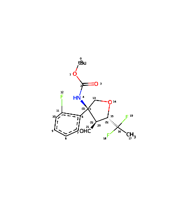 CC(C)(C)OC(=O)N[C@@]1(c2ccccc2F)CO[C@H](C(C)(F)F)[C@H]1C=O